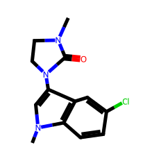 CN1CCN(c2cn(C)c3ccc(Cl)cc23)C1=O